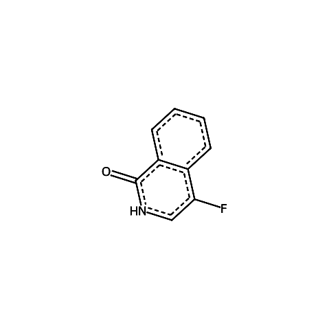 O=c1[nH]cc(F)c2ccccc12